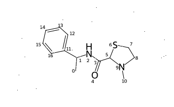 CC(NC(=O)C1SCCN1C)c1ccccc1